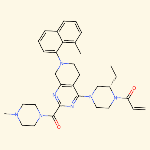 C=CC(=O)N1CCN(c2nc(C(=O)N3CCN(C)CC3)nc3c2CCN(c2cccc4cccc(C)c24)C3)C[C@@H]1CC